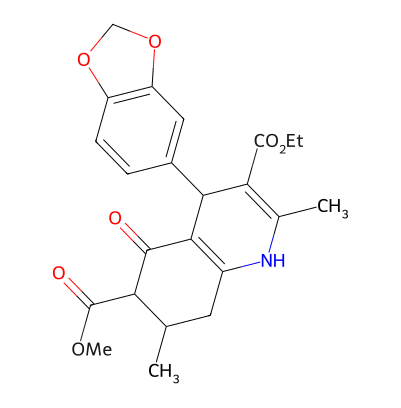 CCOC(=O)C1=C(C)NC2=C(C(=O)C(C(=O)OC)C(C)C2)C1c1ccc2c(c1)OCO2